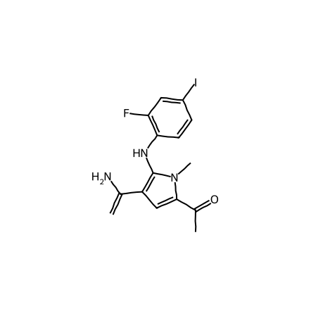 C=C(N)c1cc(C(C)=O)n(C)c1Nc1ccc(I)cc1F